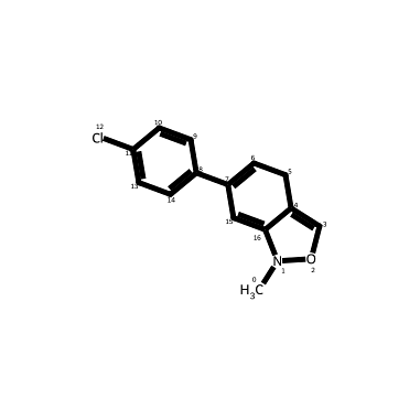 CN1OC=C2CC=C(c3ccc(Cl)cc3)C=C21